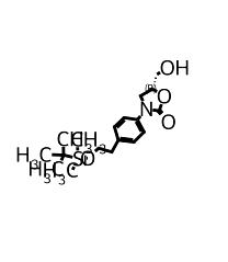 CC(C)(C)[Si](C)(C)OCCc1ccc(N2C[C@H](CO)OC2=O)cc1